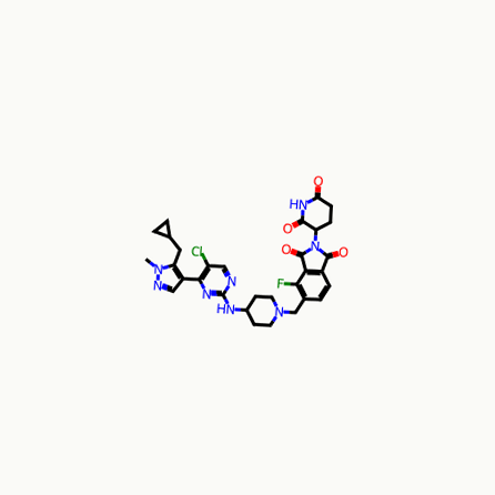 Cn1ncc(-c2nc(NC3CCN(Cc4ccc5c(c4F)C(=O)N(C4CCC(=O)NC4=O)C5=O)CC3)ncc2Cl)c1CC1CC1